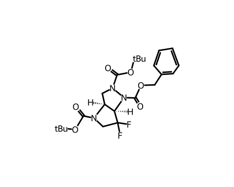 CC(C)(C)OC(=O)N1CC(F)(F)[C@H]2[C@@H]1CN(C(=O)OC(C)(C)C)N2C(=O)OCc1ccccc1